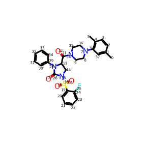 Cc1ccc(C)c(N2CCN(C(=O)C3CN(S(=O)(=O)c4ccccc4F)C(=O)N3c3ccccc3)CC2)c1